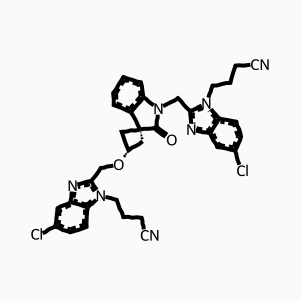 N#CCCCn1c(CO[C@H]2C[C@@]3(C2)C(=O)N(Cc2nc4cc(Cl)ccc4n2CCCC#N)c2ccccc23)nc2cc(Cl)ccc21